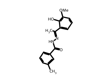 COc1cccc(/C(C)=N/NC(=O)c2cccc(C)c2)c1O